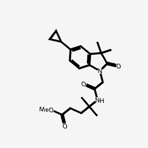 COC(=O)CCC(C)(C)NC(=O)CN1C(=O)C(C)(C)c2cc(C3CC3)ccc21